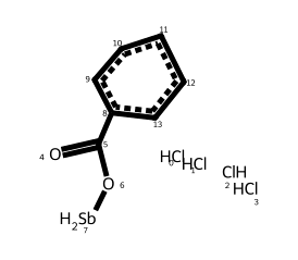 Cl.Cl.Cl.Cl.O=C([O][SbH2])c1ccccc1